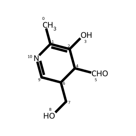 CC1=C(O)C(C=O)C(CO)C=N1